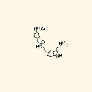 CC(=O)Nc1ccc(CC(=O)NCCc2ccc3[nH]cc(CCN)c3c2)cc1